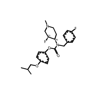 CC(C)COc1ccc(OC(=O)N(Cc2ccc(F)cc2)[C@@H]2CCN(C)C[C@@H]2F)cc1